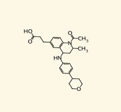 CC(=O)N1c2ccc(CCC(=O)O)cc2C(Nc2ccc(C3CCOCC3)cc2)CC1C